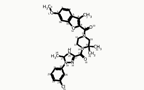 COc1ccc2c(C)c(C(=O)N3CCN(C(=O)C4=NN(c5cccc(Cl)c5)C(C)N4)C(C)(C)C3)oc2c1